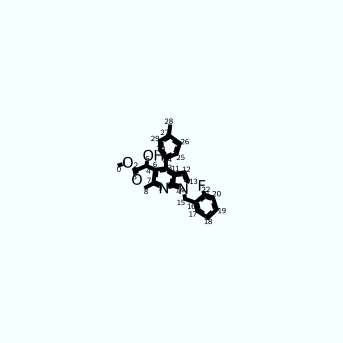 COC(=O)C(O)c1c(C)nc2c(ccn2Cc2ccccc2F)c1-c1ccc(C)cc1